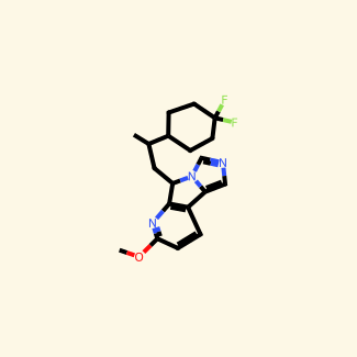 COc1ccc2c(n1)C(CC(C)C1CCC(F)(F)CC1)n1cncc1-2